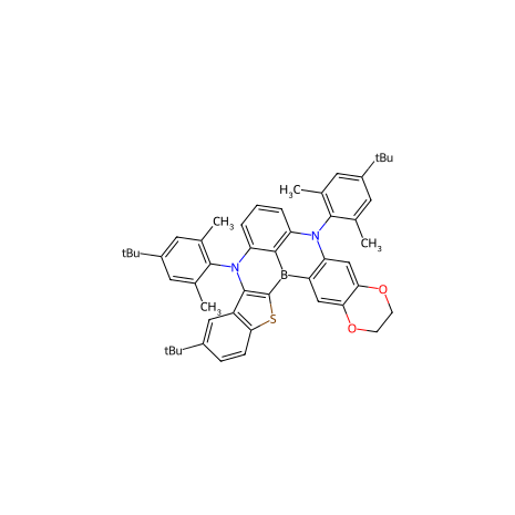 Cc1cc(C(C)(C)C)cc(C)c1N1c2cc3c(cc2B2c4sc5ccc(C(C)(C)C)cc5c4N(c4c(C)cc(C(C)(C)C)cc4C)c4cccc1c42)OCCO3